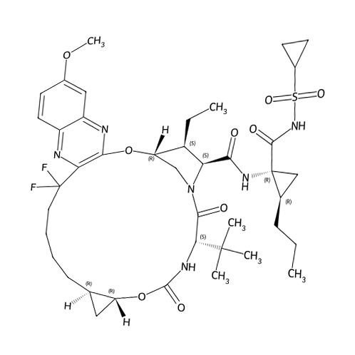 CCC[C@@H]1C[C@]1(NC(=O)[C@@H]1[C@H](CC)[C@@H]2CN1C(=O)[C@H](C(C)(C)C)NC(=O)O[C@@H]1C[C@H]1CCCCC(F)(F)c1nc3ccc(OC)cc3nc1O2)C(=O)NS(=O)(=O)C1CC1